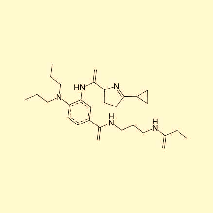 C=C(CC)NCCCNC(=C)c1ccc(N(CCC)CCC)c(NC(=C)C2=CCC(C3CC3)=N2)c1